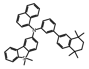 CC1(C)CCC(C)(C)c2cc(-c3cccc(N(c4ccc5c(c4)-c4ccccc4[Si]5(C)C)c4cccc5ccccc45)c3)ccc21